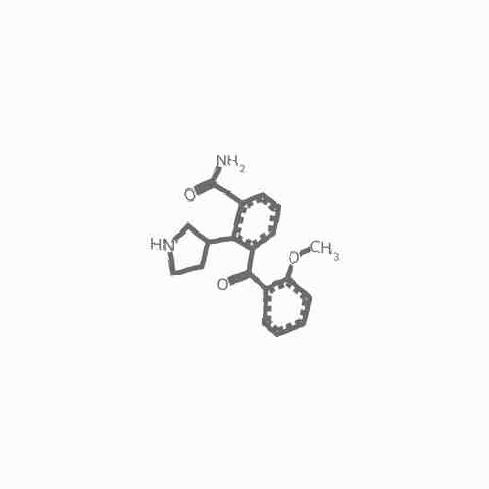 COc1ccccc1C(=O)c1cccc(C(N)=O)c1C1CCNC1